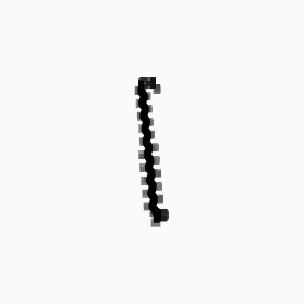 CCCCCCCCCCCCCCCCCCCCC1=CO1